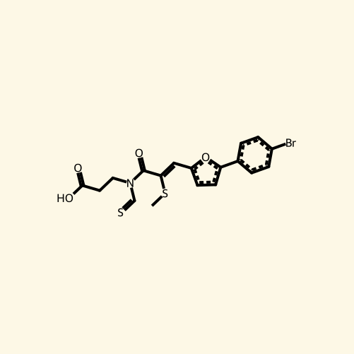 CS/C(=C\c1ccc(-c2ccc(Br)cc2)o1)C(=O)N(C=S)CCC(=O)O